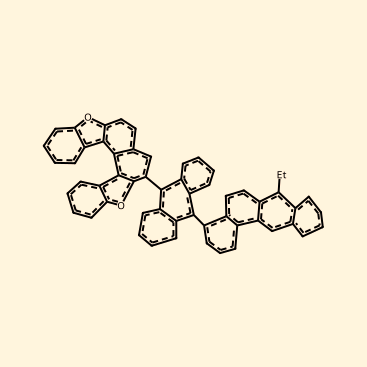 CCc1c2ccccc2cc2c1ccc1c(-c3c4ccccc4c(-c4cc5ccc6oc7ccccc7c6c5c5c4oc4ccccc45)c4ccccc34)cccc12